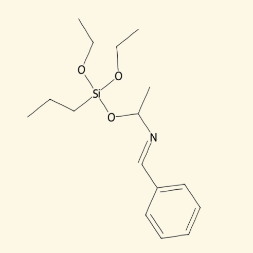 CCC[Si](OCC)(OCC)OC(C)N=Cc1ccccc1